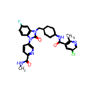 CNC(=O)c1ccc(-n2c(=O)n(CC3CCC(NC(=O)c4cc(Cl)cnc4C)CC3)c3cc(F)ccc32)cn1